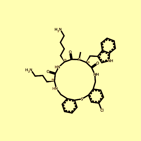 CN1C(=O)[C@H](CCCCN)NC(=O)[C@H](CCCN)NCc2ccccc2Sc2cc(Cl)ccc2CNC(=O)[C@@H]1Cc1c[nH]c2ccccc12